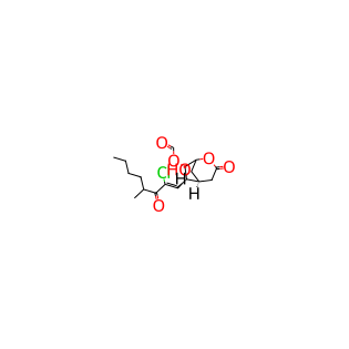 CCCCC(C)C(=O)C(Cl)=C[C@@H]1[C@@H]2CC(=O)OC([C@H]1OC=O)[C@@H]2O